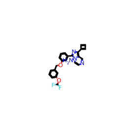 N[N+]12C=CN=CC1=C(C1=CC=C1)N=C2c1cccc(OCc2cccc(OC(F)F)c2)c1